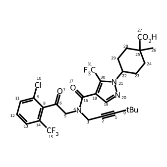 CC(C)(C)C#CCN(CC(=O)c1c(Cl)cccc1C(F)(F)F)C(=O)c1cnn(C2CCC(C)(C(=O)O)CC2)c1C(F)(F)F